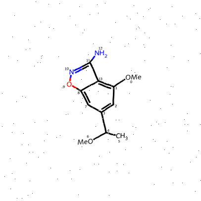 COc1cc(C(C)OC)cc2onc(N)c12